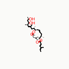 C/C=C(C)/C=C/C(=O)O[C@H]1CCCC(=O)O[C@@H]([C@@H](C)C/C(C)=C/[C@@H](C)[C@H](O)C[C@@H](C)O)C/C=C/C[C@@H]1C